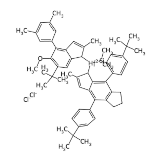 COc1c(C(C)(C)C)cc2c(c1-c1cc(C)cc(C)c1)C=C(C)[CH]2[Hf+2]([CH]1C(C)=Cc2c(-c3ccc(C(C)(C)C)cc3)c3c(c(-c4ccc(C(C)(C)C)cc4)c21)CCC3)=[Si](C)C.[Cl-].[Cl-]